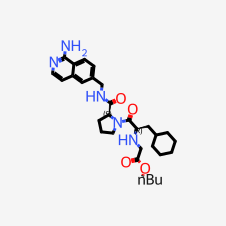 CCCCOC(=O)CN[C@H](CC1CCCCC1)C(=O)N1CCC[C@H]1C(=O)NCc1ccc2c(N)nccc2c1